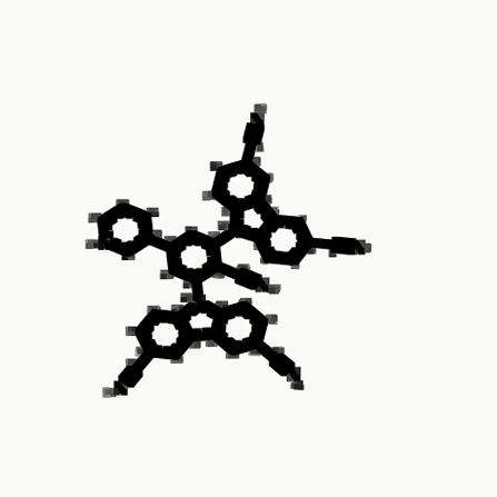 N#Cc1ccc2c(c1)c1cc(C#N)ccc1n2-c1cc(-c2cccnc2)cc(-n2c3ccc(C#N)cc3c3cc(C#N)ccc32)c1C#N